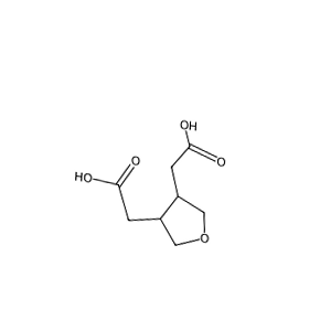 O=C(O)CC1COCC1CC(=O)O